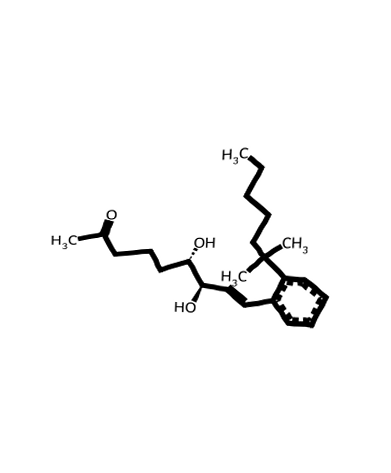 CCCCCC(C)(C)c1ccccc1/C=C/[C@@H](O)[C@@H](O)CCCC(C)=O